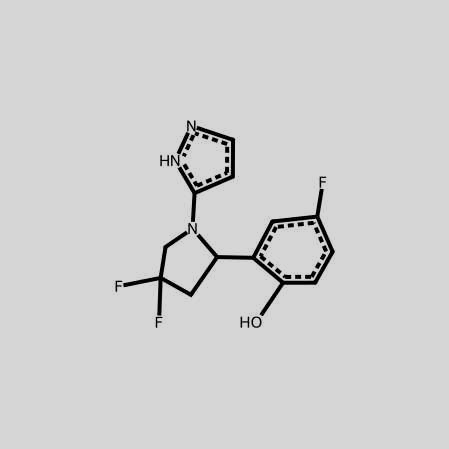 Oc1ccc(F)cc1C1CC(F)(F)CN1c1ccn[nH]1